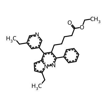 CCOC(=O)CCCCc1c(-c2ccccc2)nn2c(CC)ccc2c1-c1cncc(CC)c1